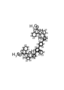 COC(=O)N[C@H](C(=O)N1CCCC1c1ncc(-c2ccc(-c3ccc(-c4cnc([C@@H]5CCCN5C(=O)[C@@H](NC(=O)OC)C5CCCCC5)[nH]4)c4c3C3CCC4O3)cc2)[nH]1)C1CCCCC1